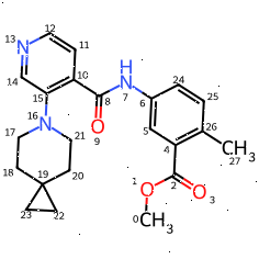 COC(=O)c1cc(NC(=O)c2ccncc2N2CCC3(CC2)CC3)ccc1C